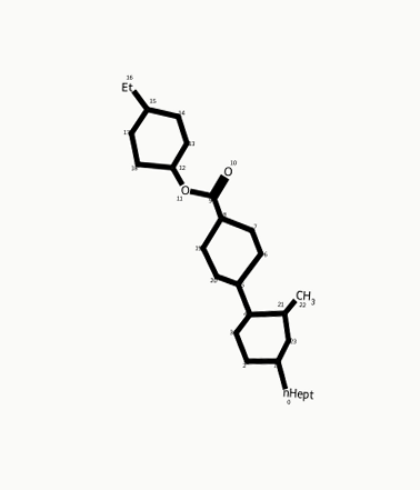 CCCCCCCC1CCC(C2CCC(C(=O)OC3CCC(CC)CC3)CC2)C(C)C1